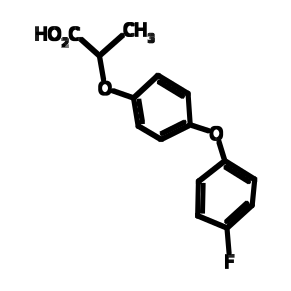 CC(Oc1ccc(Oc2ccc(F)cc2)cc1)C(=O)O